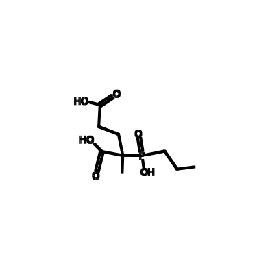 CCCP(=O)(O)C(C)(CCC(=O)O)C(=O)O